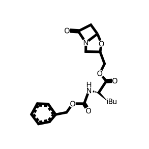 CC[C@H](C)[C@H](NC(=O)OCc1ccccc1)C(=O)OCC1CN2C(=O)CC2O1